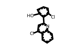 Oc1cccc(Cl)c1-c1cc(Cl)c2ccccc2n1